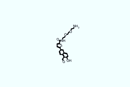 NCCOCCOCCNC(=O)c1ccc(-c2ccc3c(C=O)c(O)ccc3c2)s1